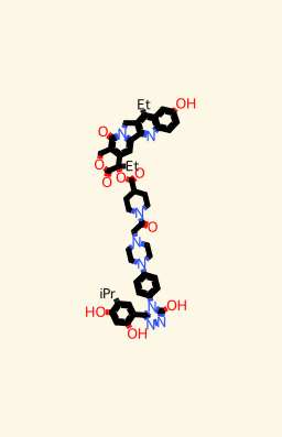 CCc1c2c(nc3ccc(O)cc13)-c1cc3c(c(=O)n1C2)COC(=O)C3(CC)OC(=O)C1CCN(C(=O)CN2CCN(c3ccc(-n4c(O)nnc4-c4cc(C(C)C)c(O)cc4O)cc3)CC2)CC1